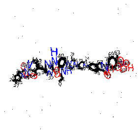 C=CC(=O)Nc1cc(Nc2nc(-c3ccnc(N4CCn5c(cc6c5CC(C)(C)C6)C4=O)c3CO)cn(C)c2=O)ccc1N1CCN(C2CCN(c3ccc4c(c3)CN(C3CCC(C)(OP(=O)(O)O)CC3)C4=O)[C@H](C)C2)C[C@@H]1C